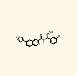 O=C(NC(CO)c1cccc(F)c1)c1cc2cc(-c3cn[nH]c3)ccc2cn1